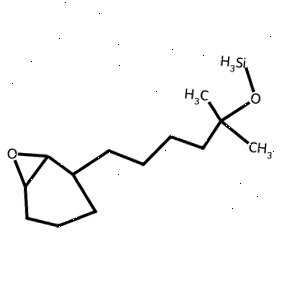 CC(C)(CCCCC1CCCC2OC12)O[SiH3]